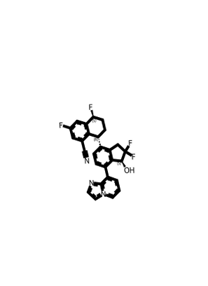 N#Cc1cc(F)cc2c1[C@@H](c1ccc(-c3cccn4ccnc34)c3c1CC(F)(F)[C@H]3O)CC[C@@H]2F